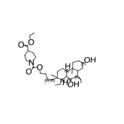 CCOC(=O)C1CCN(C(=O)OCC[C@@H](C)[C@H]2CC[C@H]3C4[C@H](O)[C@H](CC)C5C[C@H](O)CCC5(C)[C@H]4CCC23C)CC1